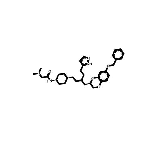 CN(C)CC(=O)N[C@H]1CC[C@@H](CCC(CCc2ccn[nH]2)C[C@@H]2COc3ccc(OCc4ccccc4)cc3O2)CC1